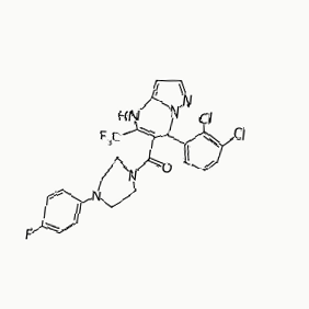 O=C(C1=C(C(F)(F)F)Nc2ccnn2C1c1cccc(Cl)c1Cl)N1CCN(c2ccc(F)cc2)CC1